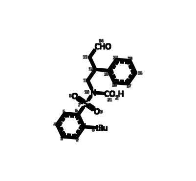 CC(C)(C)c1ccccc1S(=O)(=O)N(CC(CC=O)c1ccccc1)C(=O)O